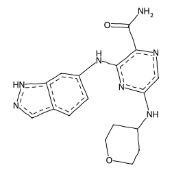 NC(=O)c1ncc(NC2CCOCC2)nc1Nc1ccc2cn[nH]c2c1